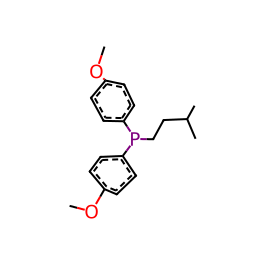 COc1ccc(P(CCC(C)C)c2ccc(OC)cc2)cc1